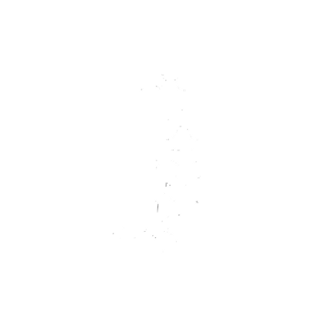 Cc1c(C(Nc2ccc(C(=O)N(C)CCC(=O)O)cc2)C2CCCCC2)oc2ccc(OCc3ccnc(F)c3)cc12